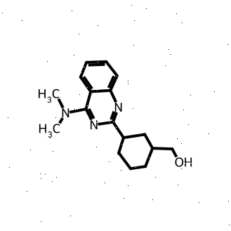 CN(C)c1nc(C2CCCC(CO)C2)nc2ccccc12